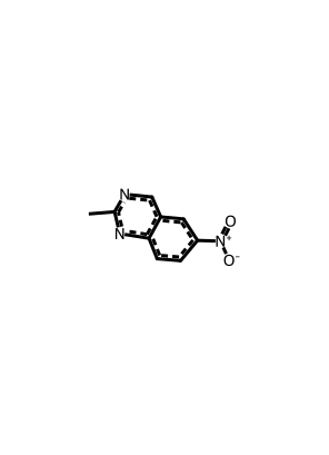 Cc1ncc2cc([N+](=O)[O-])ccc2n1